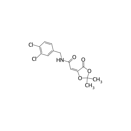 CC1(C)OC(=O)C(=CC(=O)NCc2ccc(Cl)c(Cl)c2)O1